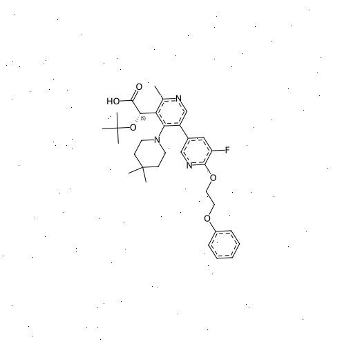 Cc1ncc(-c2cnc(OCCOc3ccccc3)c(F)c2)c(N2CCC(C)(C)CC2)c1[C@H](OC(C)(C)C)C(=O)O